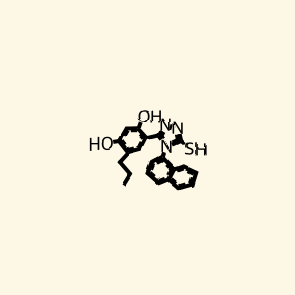 CCCc1cc(-c2nnc(S)n2-c2cccc3ccccc23)c(O)cc1O